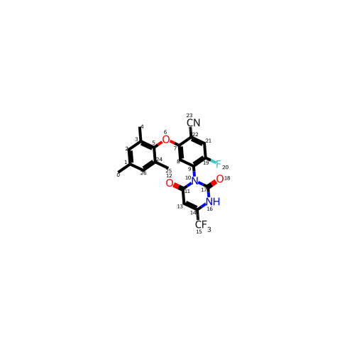 Cc1cc(C)c(Oc2cc(-n3c(=O)cc(C(F)(F)F)[nH]c3=O)c(F)cc2C#N)c(C)c1